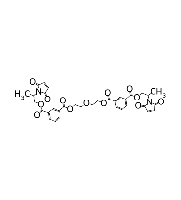 CC(COC(=O)c1cccc(C(=O)OCCOCCOC(=O)c2cccc(C(=O)OCC(C)N3C(=O)C=CC3=O)c2)c1)N1C(=O)C=CC1=O